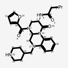 CC(C)CC(=O)N[C@H]1CN(C(=O)c2ccco2)C2CN(CC3CCNCC3)c3ccccc3N2C1=O